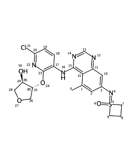 Cc1cc(N=S2(=O)CCC2)cc2ncnc(Nc3ccc(Cl)nc3O[C@@H]3COC[C@H]3O)c12